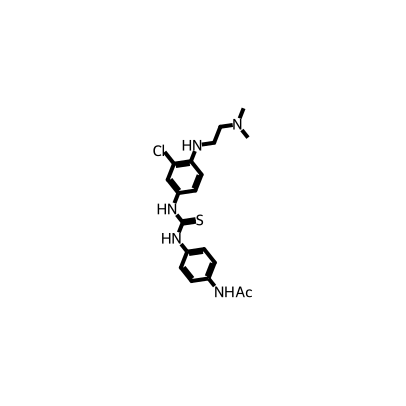 CC(=O)Nc1ccc(NC(=S)Nc2ccc(NCCN(C)C)c(Cl)c2)cc1